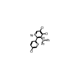 CC(C)[SiH](c1c(-c2ccc(Cl)cn2)ncc(Cl)c1Cl)C(C)C.[Ni]